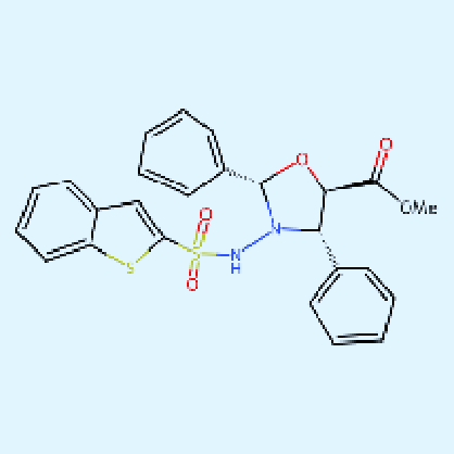 COC(=O)[C@@H]1O[C@@H](c2ccccc2)N(NS(=O)(=O)c2cc3ccccc3s2)[C@H]1c1ccccc1